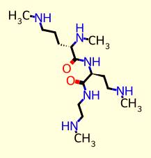 CNCCC[C@H](NC)C(=O)N[C@@H](CCNC)C(=O)NCCNC